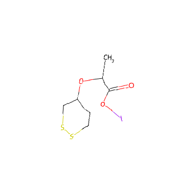 CC(OC1CCSSC1)C(=O)OI